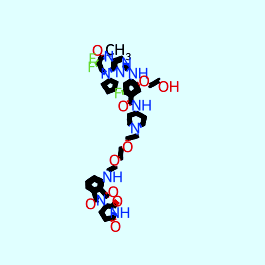 CN1C(=O)C(F)(F)CN(C2CCCC2)c2nc(Nc3cc(F)c(C(=O)NC4CCN(CCOCCOCCNc5cccc6c5C(=O)N(C5CCC(=O)NC5=O)C6=O)CC4)cc3OCCO)ncc21